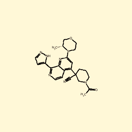 CC(=O)N1CCCC(C#N)(c2cc(N3CCOC[C@H]3C)nc3c(-c4ccn[nH]4)nccc23)C1